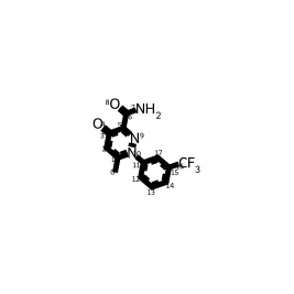 Cc1cc(=O)c(C(N)=O)nn1-c1cccc(C(F)(F)F)c1